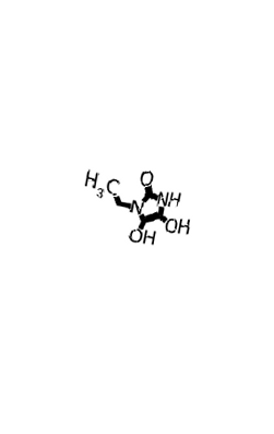 CCn1c(O)c(O)[nH]c1=O